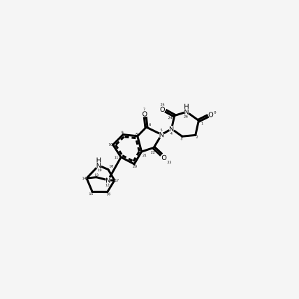 O=C1CCN(N2C(=O)c3ccc(N4CC5CCC4CN5)cc3C2=O)C(=O)N1